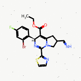 CCOC(=O)C1=C2CC(C=N)CN2C(c2nccs2)=N[C@H]1c1ccc(F)cc1Br